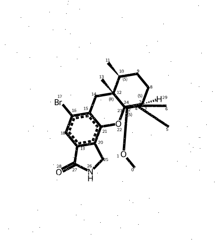 COC1CC(C)(C)[C@@H]2CC[C@H](C)[C@@]3(C)Cc4c(Br)cc5c(c4O[C@@]23C1)CNC5=O